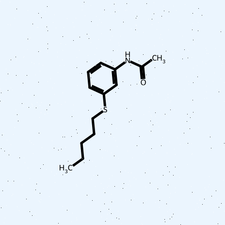 CCCCCSc1cccc(NC(C)=O)c1